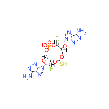 Nc1ncnc2c1ncn2[C@@H]1O[C@@H]2COP(=O)(O)O[C@H]3[C@@H](F)[C@H](n4cnc5c(N)ncnc54)O[C@@H]3CO[C@@H](S)O[C@H]2[C@H]1F